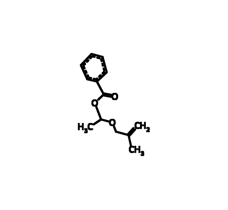 C=C(C)COC(C)OC(=O)c1ccccc1